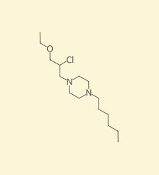 CCCCCCN1CCN(CC(Cl)COCC)CC1